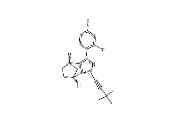 CC(C)(C)C#Cc1nn(-c2ccc(F)cc2F)c2c1[C@@H]1CC[C@H]2C1